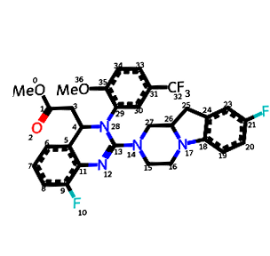 COC(=O)CC1c2cccc(F)c2N=C(N2CCN3c4ccc(F)cc4CC3C2)N1c1cc(C(F)(F)F)ccc1OC